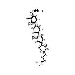 C=CCCC1CCC(c2ccc(-c3ccc(-c4ccc(OCCCCCCC)c(F)c4F)cc3)c(F)c2)OC1